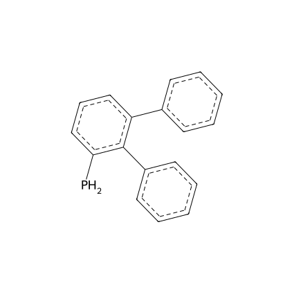 Pc1cccc(-c2ccccc2)c1-c1ccccc1